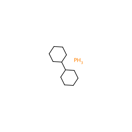 C1CCC(C2CCCCC2)CC1.P